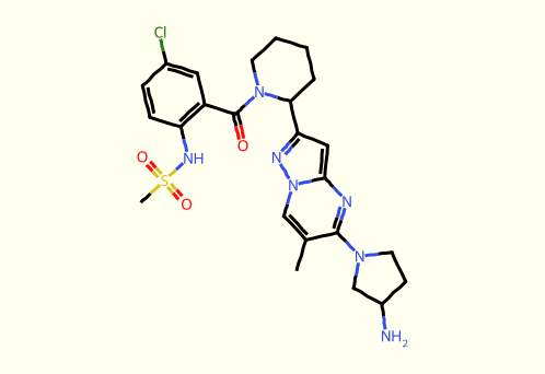 Cc1cn2nc(C3CCCCN3C(=O)c3cc(Cl)ccc3NS(C)(=O)=O)cc2nc1N1CCC(N)C1